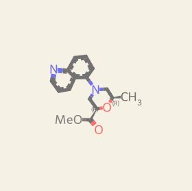 COC(=O)[C@H]1CN(c2cccc3ncccc23)C[C@@H](C)O1